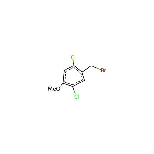 COc1cc(Cl)c(CBr)cc1Cl